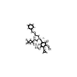 CCOc1cc([C@@H](C)N(CCOCc2ccccc2)CNC2(C(=O)O)CC(F)(F)C2)c(Cl)c(OCC)c1C1CC1